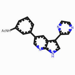 CC(=O)Nc1cccc(-c2cnc3[nH]cc(-c4cnccn4)c3c2)c1